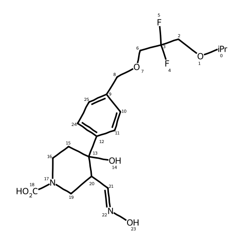 CC(C)OCC(F)(F)COCc1ccc(C2(O)CCN(C(=O)O)CC2C=NO)cc1